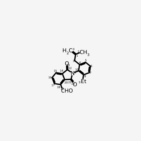 C=C(C)Cc1cccc(CC)c1N1C(=O)c2cccc(C=O)c2C1=O